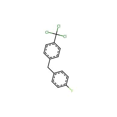 Fc1ccc(Cc2ccc(C(Cl)(Cl)Cl)cc2)cc1